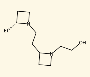 CC[C@@H]1CCN1CCC1CCN1CCO